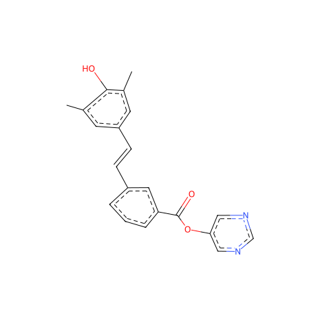 Cc1cc(/C=C/c2cccc(C(=O)Oc3cncnc3)c2)cc(C)c1O